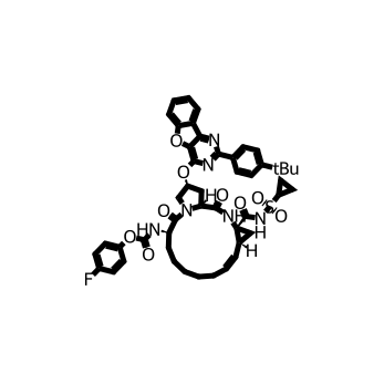 CC(C)(C)c1ccc(-c2nc(O[C@@H]3C[C@H]4C(=O)N[C@]5(C(=O)NS(=O)(=O)C6CC6)C[C@H]5/C=C\CCCCC[C@H](NC(=O)Oc5ccc(F)cc5)C(=O)N4C3)c3oc4ccccc4c3n2)cc1